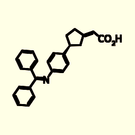 O=C(O)C=C1CC[C@H](c2ccc(N=C(c3ccccc3)c3ccccc3)cc2)C1